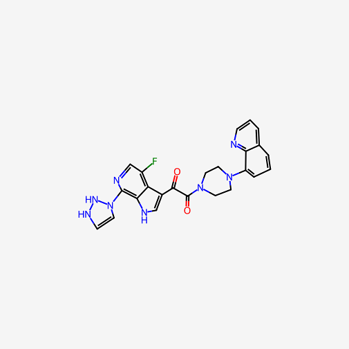 O=C(C(=O)N1CCN(c2cccc3cccnc23)CC1)c1c[nH]c2c(N3C=CNN3)ncc(F)c12